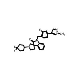 Cn1cc(-c2ccc(CN3C(=O)C4(CCN(C5CCC(F)(F)CC5)C4)c4ccccc43)c(F)c2)cn1